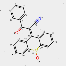 N#CC(C(=O)c1ccccc1)=C1c2ccccc2[S+]([O-])c2ccccc21